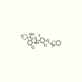 CN1c2ccccc2C[C@@H]1COc1cc(F)c(C(=O)Nc2cc(C3(C(=O)O)CCOCC3)ccc2Cl)cc1Cl